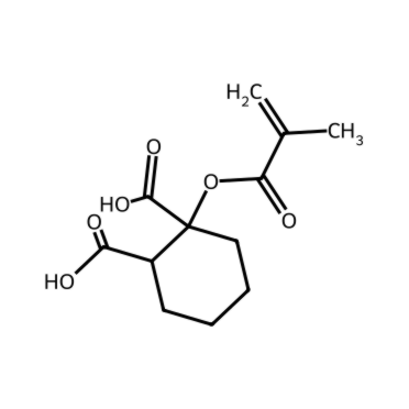 C=C(C)C(=O)OC1(C(=O)O)CCCCC1C(=O)O